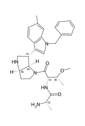 CO[C@H](C)[C@H](NC(=O)[C@H](C)N)C(=O)N1CC[C@H]2NC[C@H](c3cn(Cc4ccccc4)c4cc(C)ccc34)[C@H]21